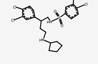 O=S(=O)(NCC(CCNC1CCCC1)c1ccc(Cl)c(Cl)c1)c1ccc(Cl)c(Cl)c1